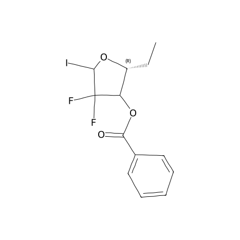 CC[C@H]1OC(I)C(F)(F)C1OC(=O)c1ccccc1